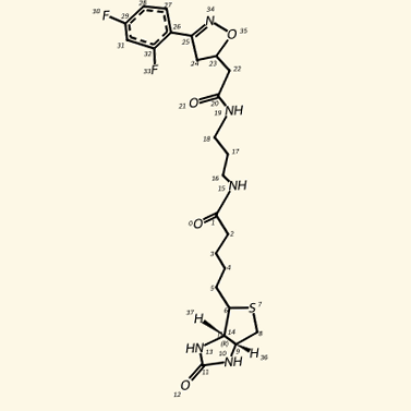 O=C(CCCCC1SC[C@@H]2NC(=O)N[C@H]12)NCCCNC(=O)CC1CC(c2ccc(F)cc2F)=NO1